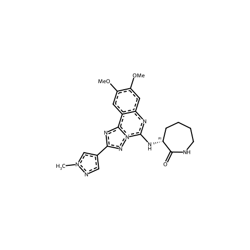 COc1cc2nc(N[C@@H]3CCCCNC3=O)n3nc(-c4cnn(C)c4)nc3c2cc1OC